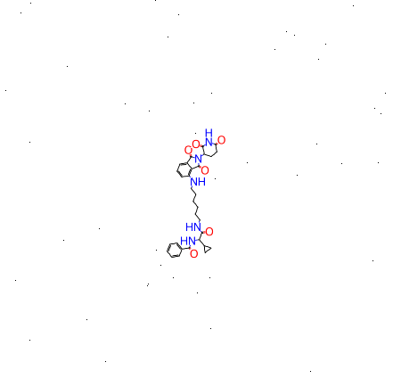 O=C1CCC(N2C(=O)c3cccc(NCCCCCCNC(=O)C(NC(=O)c4ccccc4)C4CC4)c3C2=O)C(=O)N1